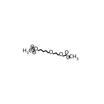 COC(=O)COCCCOCCCCCOS(C)(=O)=O